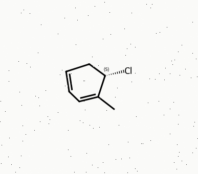 CC1=CC=CC[C@@H]1Cl